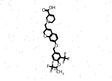 C[C@H](Oc1ccc(COc2ccc3c(c2)OCC(CN2CCC=C(C(=O)O)C2)=C3)cc1C(F)(F)F)C(F)(F)F